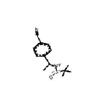 CC(N[S@+]([O-])C(C)(C)C)c1ccc(C#N)cc1